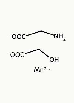 NCC(=O)[O-].O=C([O-])CO.[Mn+2]